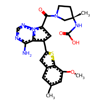 COc1cc(C)cc2cc(-c3cc(C(=O)N4CC[C@](C)(NC(=O)O)C4)n4ncnc(N)c34)sc12